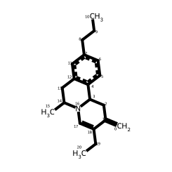 C=C1CC2c3ccc(CCC)cc3CC(C)N2C=C1CC